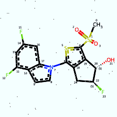 CS(=O)(=O)c1sc(-n2ccc3c(F)cc(F)cc32)c2c1[C@H](O)[C@@H](F)C2